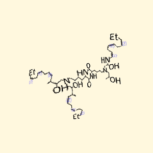 CC/C=C\C/C=C\C/C=C\NC(O)CN(CCCCC1NC(=O)C(CCCCN(CC(O)C(C)/C=C\C/C=C\C/C=C\CC)CC(O)C(C)/C=C\C/C=C\C/C=C\CC)NC1=O)CC(C)O